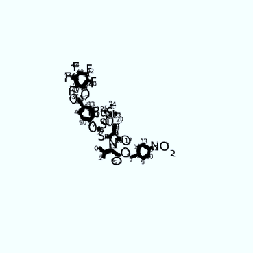 CC(C)=C(C(=O)OCc1ccc([N+](=O)[O-])cc1)N1C(=O)[C@H]([C@@H](C)O[Si](C)(C)C(C)(C)C)[C@H]1SC(=S)Oc1ccc(C(=O)Oc2c(F)c(F)c(F)c(F)c2F)cc1